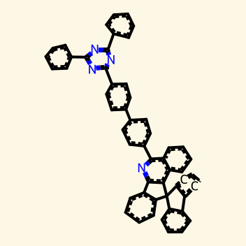 c1ccc(-c2nc(-c3ccccc3)nc(-c3ccc(-c4ccc(-c5nc6c(c7ccccc57)C5(c7ccccc7-c7ccccc75)c5ccccc5-6)cc4)cc3)n2)cc1